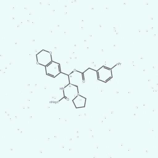 CCCCCCCC(=O)N[C@H](CN1CCCC1)[C@H](OC(=O)Cc1cccc(CCC)c1)c1ccc2c(c1)OCCO2